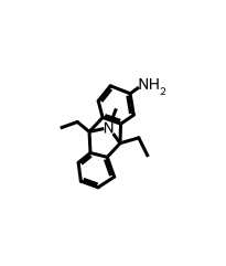 CCC12c3ccccc3C(CC)(c3cc(N)ccc31)N2C